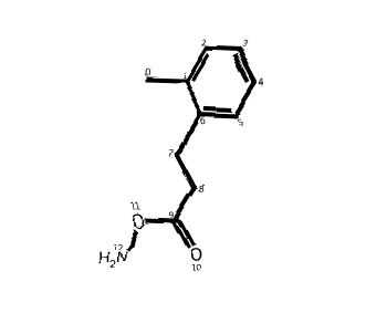 Cc1ccccc1CCC(=O)ON